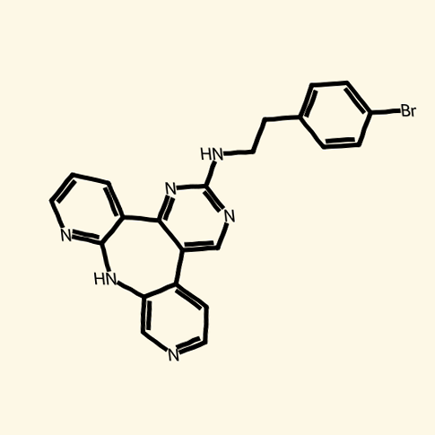 Brc1ccc(CCNc2ncc3c(n2)-c2cccnc2Nc2cnccc2-3)cc1